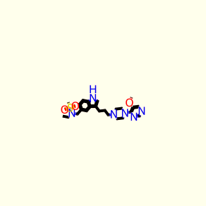 CCN(Cc1ccc2[nH]cc(CCCN3CCN(c4ncncc4OC)CC3)c2c1)S(C)(=O)=O